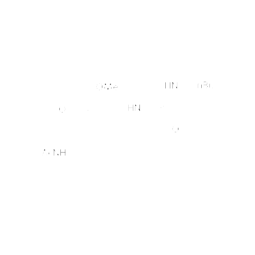 CCCCNC(=O)Nc1cccc(NC(C)=O)c1C(=O)OC